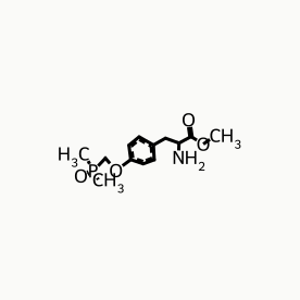 COC(=O)C(N)Cc1ccc(OCP(C)(C)=O)cc1